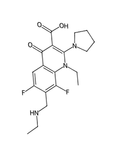 CCNCc1c(F)cc2c(=O)c(C(=O)O)c(N3CCCC3)n(CC)c2c1F